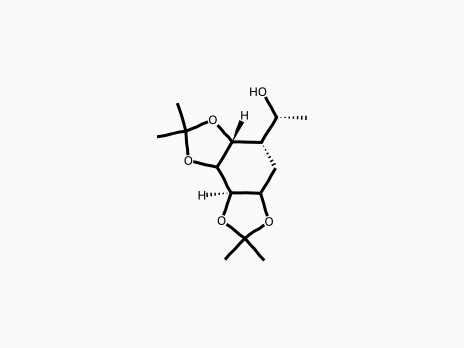 C[C@@H](O)[C@@H]1CC2OC(C)(C)O[C@H]2C2OC(C)(C)O[C@@H]21